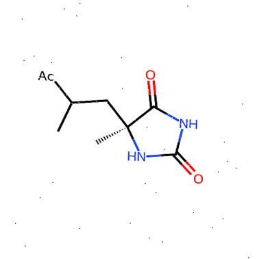 CC(=O)C(C)C[C@]1(C)NC(=O)NC1=O